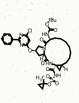 CC(C)(C)OC(=O)N[C@H]1CCCCCCC[C@@H]2C[C@@]2(C(=O)NS(=O)(=O)OC2(C)CC2)NC(=O)[C@@H]2C[C@@H](Oc3cc(Cl)nc(-c4ccccc4)n3)CN2C1=O